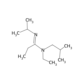 CC/C(=N\C(C)C)N(CC)CC(C)C